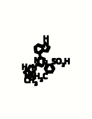 CN1C[C@H]2CN(c3cncc(-c4cccc5[nH]ccc45)n3)C[C@H]21.Cc1ccc(S(=O)(=O)O)cc1